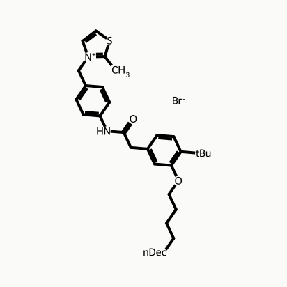 CCCCCCCCCCCCCCOc1cc(CC(=O)Nc2ccc(C[n+]3ccsc3C)cc2)ccc1C(C)(C)C.[Br-]